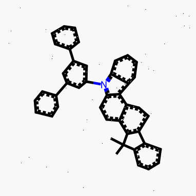 CC1(C)c2ccccc2-c2ccc3c(ccc4c3c3ccccc3n4-c3cc(-c4ccccc4)cc(-c4ccccc4)c3)c21